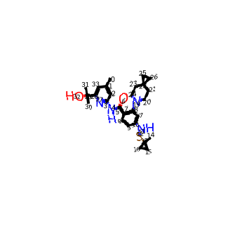 Cc1cc(NC(=O)c2ccc(NSC3(C)CC3)cc2N2CCC3(CC2)CC3)nc(C(C)(C)O)c1